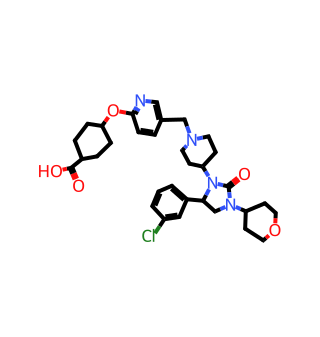 O=C(O)C1CCC(Oc2ccc(CN3CCC(N4C(=O)N(C5CCOCC5)CC4c4cccc(Cl)c4)CC3)cn2)CC1